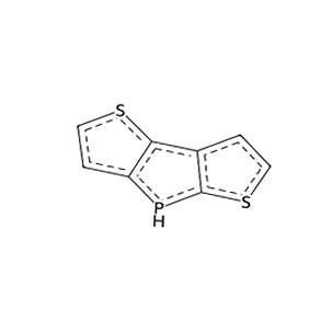 c1cc2c([pH]c3ccsc32)s1